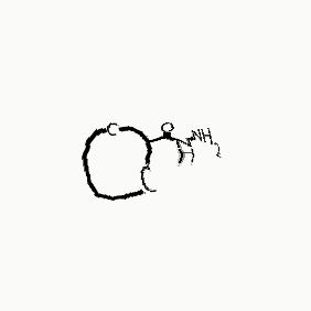 NNC(=O)C1CCCCCCCCCCCCC1